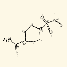 CN(C)S(=O)(=O)N1CCC(C(=O)O)CC1